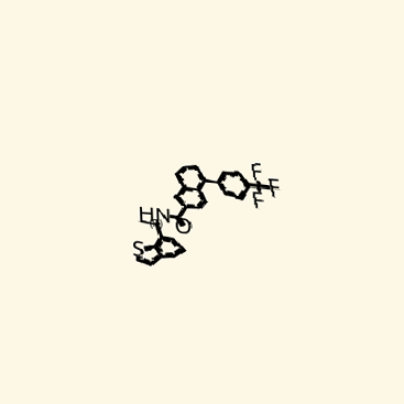 C[C@@H](NC(=O)c1ccc2c(-c3ccc(C(F)(F)F)cc3)cccc2c1)c1cccc2ccsc12